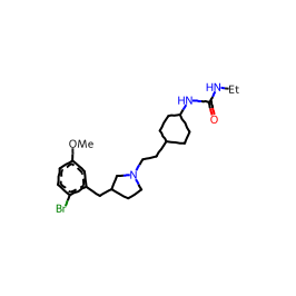 CCNC(=O)NC1CCC(CCN2CCC(Cc3cc(OC)ccc3Br)C2)CC1